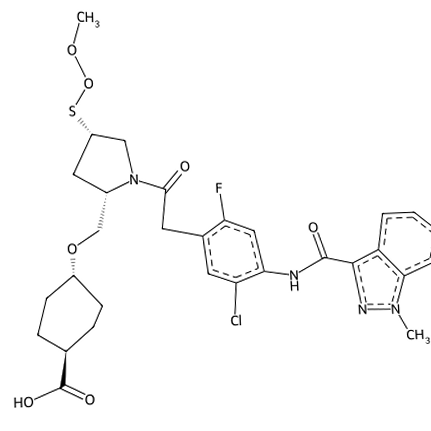 COOS[C@H]1C[C@@H](CO[C@H]2CC[C@H](C(=O)O)CC2)N(C(=O)Cc2cc(Cl)c(NC(=O)c3nn(C)c4ccccc34)cc2F)C1